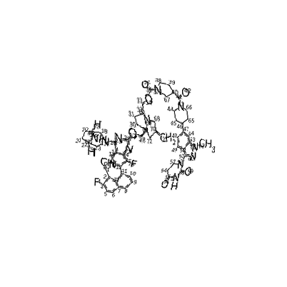 C#Cc1c(F)ccc2cccc(-c3ncc4c(N5C[C@H]6CC[C@@H](C5)N6)nc(OC[C@@]56CC[C@@H](COC(=O)N7CCC(C(=O)N8CCC(c9ccc%10c(N%11CCC(=O)NC%11=O)nn(C)c%10c9)CC8)C7)N5CC(=C)C6)nc4c3F)c12